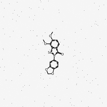 COc1ccc2c(=O)n(-c3ccc4c(c3)OCO4)[se]c2c1OC